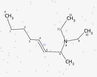 CCCC/C=C/C(C)N(CC)CC